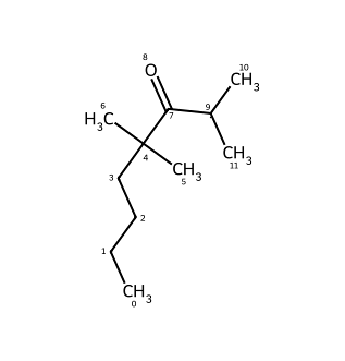 CCCCC(C)(C)C(=O)[C](C)C